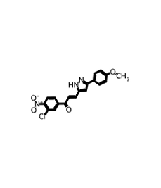 COc1ccc(-c2cc(C=CC(=O)c3ccc([N+](=O)[O-])c(Cl)c3)[nH]n2)cc1